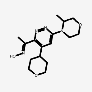 CC(=NO)c1nnc(N2CCOCC2C)cc1C1CCOCC1